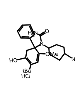 COC1=CC(C(C)(C)C)=C(O)CC1(c1ccccc1)N(C(N)=O)C1CCC(N)CC1.Cl